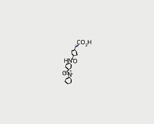 CN(c1ccccc1)[S+]([O-])c1ccc(NC(=O)c2ccc(/C=C/C(=O)O)cc2)cc1